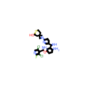 N=C(c1ccc(N2CC3(CCS[C@@H](O)C3)C2)nc1)c1cc(O[C@H](N)c2c(Cl)cnc(F)c2Cl)ccc1N